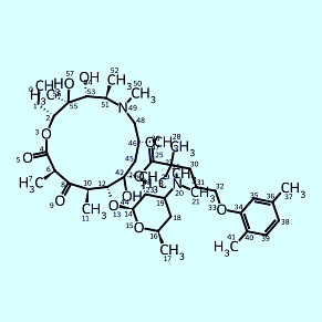 CC[C@H]1OC(=O)[C@H](C)C(=O)[C@H](C)[C@@H](O[C@@H]2O[C@H](C)CC(N(C)C)[C@H]2OC(=O)C(C)(C)CCCOc2cc(C)ccc2C)[C@](C)(O)C[C@@H](C)CN(C)[C@H](C)[C@@H](O)[C@]1(C)O